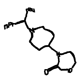 CCCCC(CCC)N1CCC(N2CCOC2=O)CC1